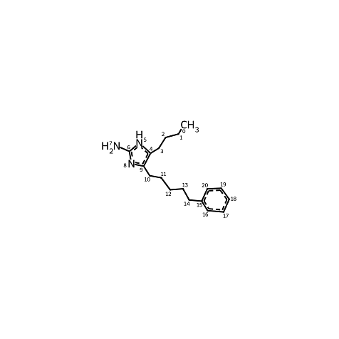 CCCCc1[nH]c(N)nc1CCCCCc1ccccc1